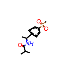 CC(C)C(=O)NC(C)c1ccc(S(C)(=O)=O)cc1